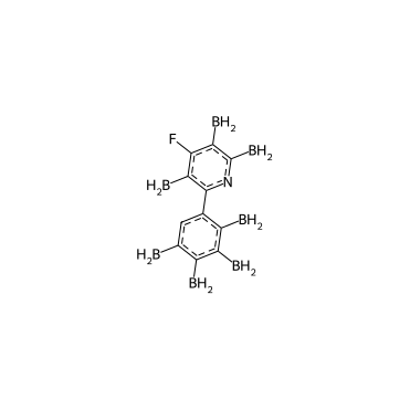 Bc1cc(-c2nc(B)c(B)c(F)c2B)c(B)c(B)c1B